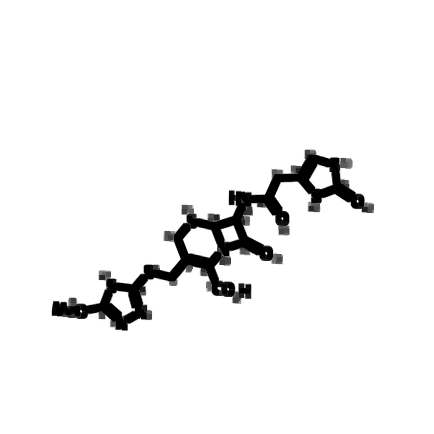 COc1nnc(SCC2=C(C(=O)O)N3C(=O)C(NC(=O)Cc4csc(=O)s4)C3SC2)s1